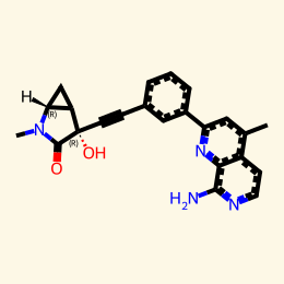 Cc1cc(-c2cccc(C#C[C@@]3(O)C(=O)N(C)[C@@H]4CC43)c2)nc2c(N)nccc12